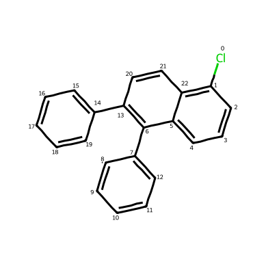 Clc1cccc2c(-c3[c]cccc3)c(-c3ccccc3)ccc12